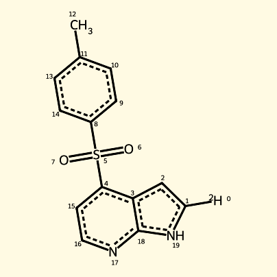 [2H]c1cc2c(S(=O)(=O)c3ccc(C)cc3)ccnc2[nH]1